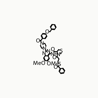 COc1cc2nc(N3CCN(C(=O)c4ccc(OCc5ccccc5)cc4)CC3)nc(NC(=O)C3CSCN3C(=O)CCSC(=O)c3ccccc3)c2cc1OC